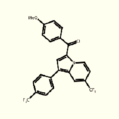 COc1ccc(C(=O)c2cc(-c3ccc(C(F)(F)F)cc3)c3cc(C(F)(F)F)ccn23)cc1